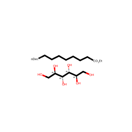 CCCCCCCCCCCCCCCCCC(=O)OCC.OC[C@@H](O)[C@@H](O)[C@H](O)[C@H](O)CO